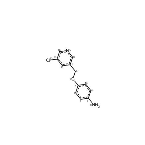 Nc1ccc(OCc2cncc(Cl)c2)cc1